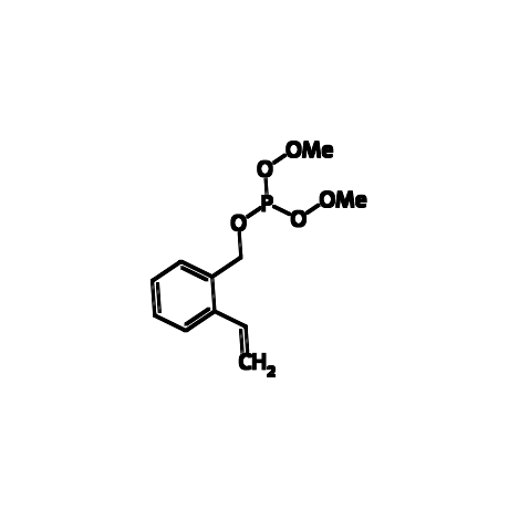 C=Cc1ccccc1COP(OOC)OOC